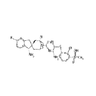 CS(=N)(=O)c1cccc(Sc2ncc(N3C4CC[C@@H]3C[C@@]3(Cc5cc(F)ccc5[C@H]3N)C4)nc2N)c1Cl